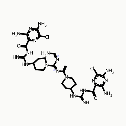 C=C(/N=C(\N=C/N)N1CCC(NC(=N)NC(=O)c2nc(Cl)c(N)nc2N)CC1)N1CCC(NC(=N)NC(=O)c2nc(Cl)c(N)nc2N)CC1